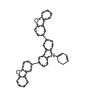 C1=CCCC(n2c3ccc(-c4ccc5oc6ccccc6c5c4)cc3c3cc(-c4ccc5oc6ccccc6c5c4)ccc32)=C1